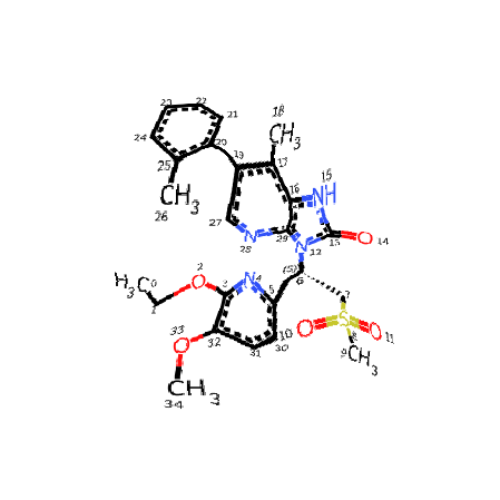 CCOc1nc([C@@H](CS(C)(=O)=O)n2c(=O)[nH]c3c(C)c(-c4ccccc4C)cnc32)ccc1OC